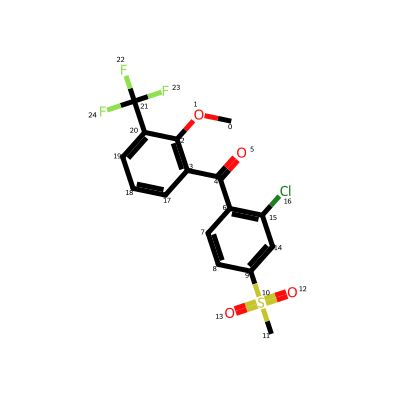 COc1c(C(=O)c2ccc(S(C)(=O)=O)cc2Cl)cccc1C(F)(F)F